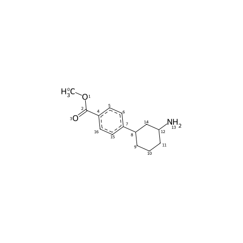 COC(=O)c1ccc(C2CCCC(N)C2)cc1